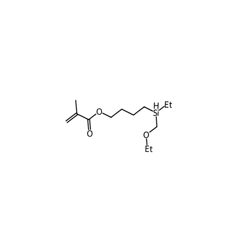 C=C(C)C(=O)OCCCC[SiH](CC)COCC